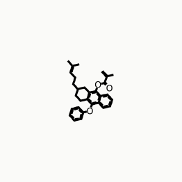 C=C(C)C(=O)Oc1c2c(c(Oc3ccccc3)c3ccccc13)CCC(CCC=C(C)C)C2